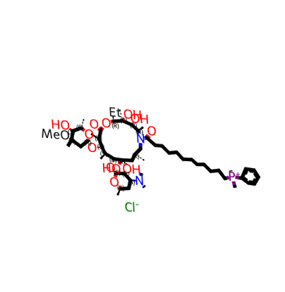 CC[C@H]1OC(=O)[C@H](C)[C@@H](O[C@H]2C[C@@](C)(OC)[C@@H](O)[C@H](C)O2)[C@H](C)[C@@H](O[C@@H]2O[C@H](C)C[C@H](N(C)C)[C@H]2O)[C@](C)(O)C[C@@H](C)CN(C(=O)CCCCCCCCCCC[P+](C)(C)c2ccccc2)[C@H](C)[C@@H](O)[C@]1(C)O.[Cl-]